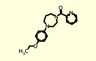 CCOc1ccc(N2CCCN(C(=O)c3ccccn3)CC2)cc1